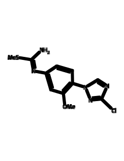 COc1cc(N=C(N)SC)ccc1-n1cnc(Cl)n1